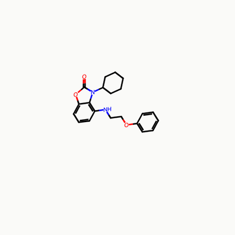 O=c1oc2cccc(NCCOc3ccccc3)c2n1C1CCCCC1